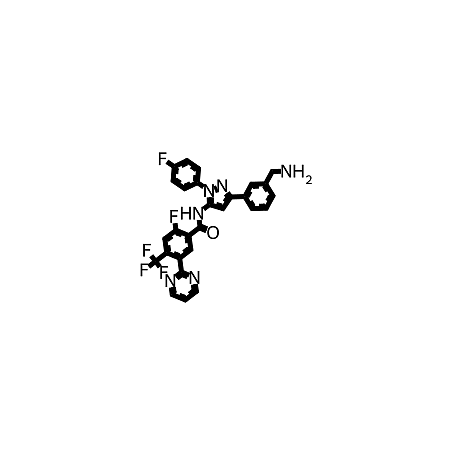 NCc1cccc(-c2cc(NC(=O)c3cc(-c4ncccn4)c(C(F)(F)F)cc3F)n(-c3ccc(F)cc3)n2)c1